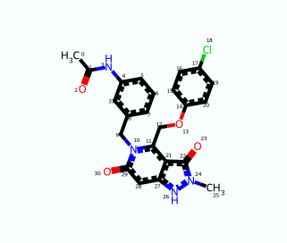 CC(=O)Nc1cccc(Cn2c(COc3ccc(Cl)cc3)c3c(=O)n(C)[nH]c3cc2=O)c1